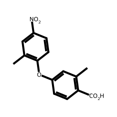 Cc1cc([N+](=O)[O-])ccc1Oc1ccc(C(=O)O)c(C)c1